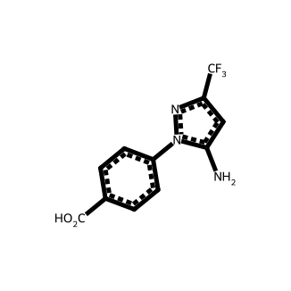 Nc1cc(C(F)(F)F)nn1-c1ccc(C(=O)O)cc1